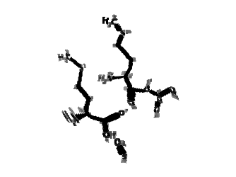 CSCC[C@H](N)C(=O)O.CSCC[C@H](N)C(=O)O[SH](=O)=O.O=S